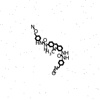 C[n+]1c2cc(NC(=O)Nc3ccc(CN=C=O)cc3)ccc2cc2ccc(NC(=O)Nc3ccc(COC#N)cc3)cc21